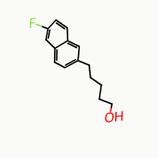 OCCCCCc1ccc2cc(F)ccc2c1